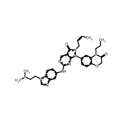 C/C=C\Cn1c(=O)c2cnc(Nc3ccc4c(c3)ncn4CCN(C)C)nc2n1-c1ccc2c(c1)N(CCC)C(=O)CO2